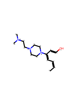 C\C=C/C=C(\C=C\O)N1CCN(CCN(C)C)CC1